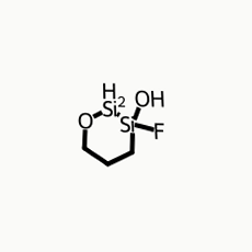 O[Si]1(F)CCCO[SiH2]1